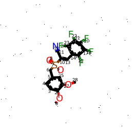 COc1ccc(CS(=O)(=O)C(C#N)=Cc2c(F)c(F)c(F)c(F)c2F)cc1OC